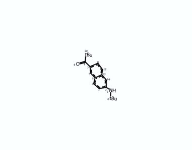 CC(C)(C)Nc1ccc2cc(C(=O)C(C)(C)C)ccc2c1